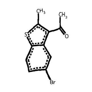 CC(=O)c1c(C)sc2ccc(Br)cc12